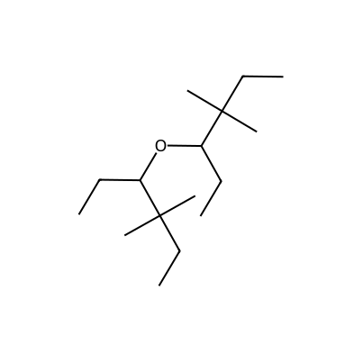 CCC(OC(CC)C(C)(C)CC)C(C)(C)CC